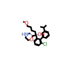 COCCCC[C@@](O)(c1cccc(Cl)c1-c1cccc(C(C)C)c1)[C@H]1CNCCO1